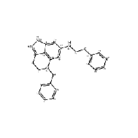 c1ccc(CN2CCc3n[nH]c4nc(NCCc5cccnc5)nc2c34)cc1